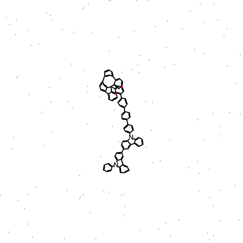 c1ccc(-n2c3ccccc3c3cc(-c4ccc5c(c4)c4ccccc4n5-c4ccc(-c5ccc(-c6ccc(-c7cccc(C89c%10ccccc%10-c%10cccc(c%10)-c%10ccc(c8c%10)-c8ccccc89)c7)cc6)cc5)cc4)ccc32)cc1